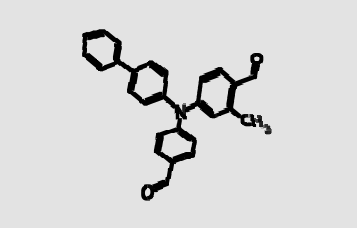 Cc1cc(N(c2ccc(C=O)cc2)c2ccc(-c3ccccc3)cc2)ccc1C=O